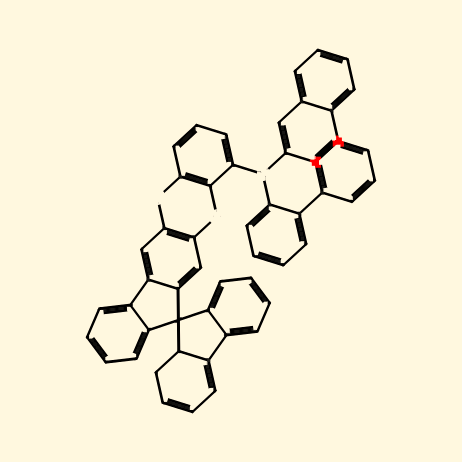 C1=CCC2C(=C1)c1ccccc1C21c2ccccc2-c2cc3c(cc21)Oc1c(cccc1N(c1ccc2ccccc2c1)c1ccccc1-c1ccccc1)O3